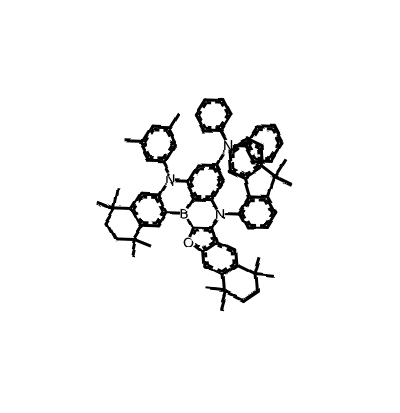 Cc1cc(C)cc(N2c3cc4c(cc3B3c5oc6cc7c(cc6c5N(c5cccc6c5-c5ccccc5C6(C)C)c5cc(N(c6ccccc6)c6ccccc6)cc2c53)C(C)(C)CCC7(C)C)C(C)(C)CCC4(C)C)c1